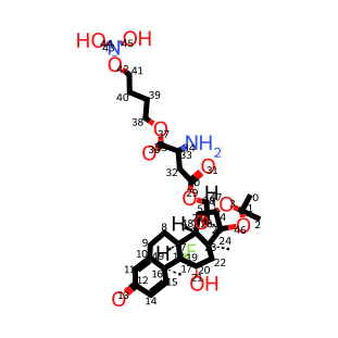 CC1(C)O[C@@H]2C[C@H]3[C@@H]4CCC5=CC(=O)C=C[C@]5(C)[C@@]4(F)[C@@H](O)C[C@]3(C)[C@]2(C(=O)COC(=O)CC(N)C(=O)OCCCCON(O)O)O1